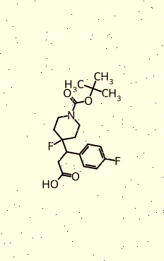 CC(C)(C)OC(=O)N1CCC(F)(C(CC(=O)O)c2ccc(F)cc2)CC1